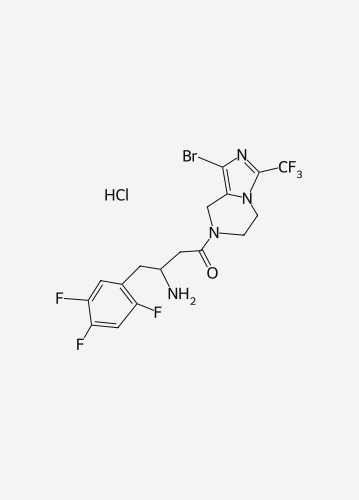 Cl.NC(CC(=O)N1CCn2c(C(F)(F)F)nc(Br)c2C1)Cc1cc(F)c(F)cc1F